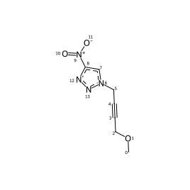 COCC#CCn1cc([N+](=O)[O-])nn1